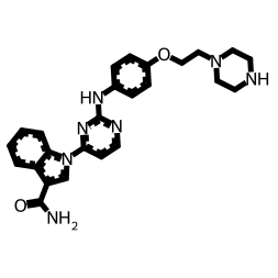 NC(=O)c1cn(-c2ccnc(Nc3ccc(OCCN4CCNCC4)cc3)n2)c2ccccc12